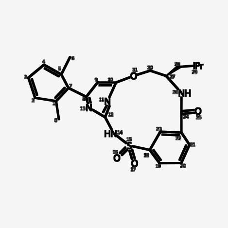 Cc1cccc(C)c1-c1cc2nc(n1)NS(=O)(=O)c1cccc(c1)C(=O)N[C@H](CC(C)C)CO2